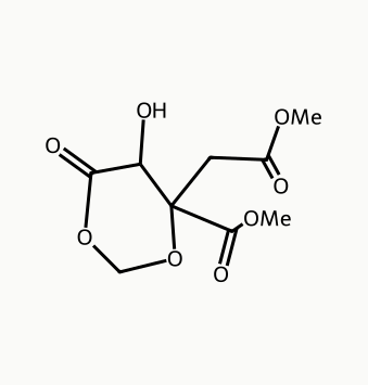 COC(=O)CC1(C(=O)OC)OCOC(=O)C1O